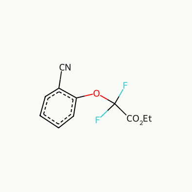 CCOC(=O)C(F)(F)Oc1ccccc1C#N